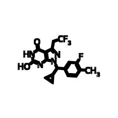 Cc1ccc(C(C2CC2)n2nc(CC(F)(F)F)c3c(=O)[nH]c(O)nc32)cc1F